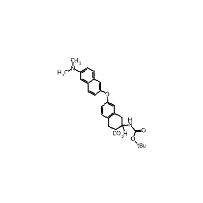 CN(C)c1ccc2cc(Oc3ccc4c(c3)CC(NC(=O)OC(C)(C)C)(C(=O)O)CC4)ccc2c1